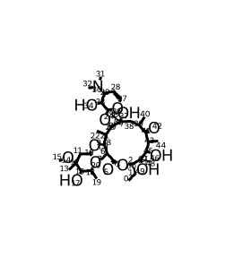 CC[C@H]1OC(=O)C(C)[C@@H](OC2CC(C)(OC)C(O)C(C)O2)C(C)[C@@H](OC2OC=CC(N(C)C)C2O)[C@](C)(O)CC(C)C(=O)C(C)C(O)[C@]1(C)O